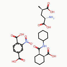 C[C@H](C[C@H](N)C(=O)O)C(=O)O.O=C(O)[C@H]1CCCC[C@H]1C(=O)NC1CCCCC1.O=C(O)c1ccc(C(=O)O)c([N+](=O)[O-])c1